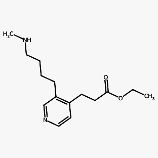 CCOC(=O)CCc1ccncc1CCCCNC